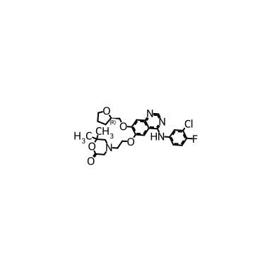 CC1(C)CN(CCOc2cc3c(Nc4ccc(F)c(Cl)c4)ncnc3cc2OC[C@H]2CCCO2)CC(=O)O1